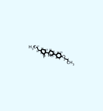 CCCOc1ccc(-c2ccc(-c3ccc(CCC)cc3F)nc2)cc1